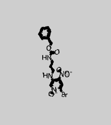 O=C(NCCCNc1c[n+]([O-])c(Br)cc1[N+](=O)[O-])OCc1ccccc1